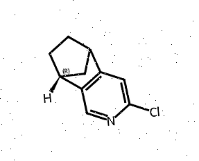 Clc1cc2c(cn1)[C@@H]1CCC2C1